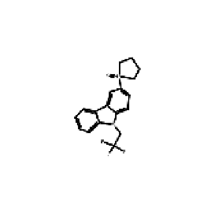 O=[SH]1(c2ccc3c(c2)c2ccccc2n3CC(F)(F)F)CCCC1